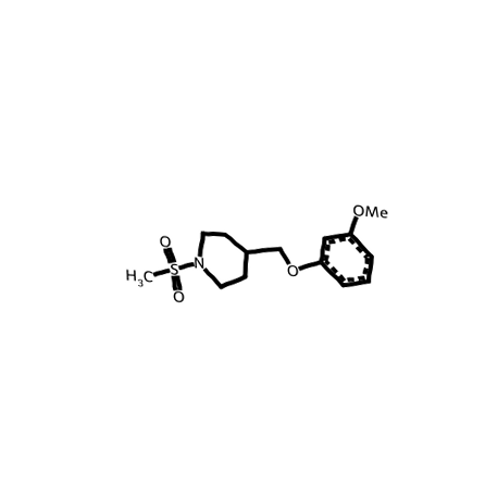 COc1cccc(OCC2CCN(S(C)(=O)=O)CC2)c1